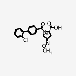 CON=C1C[C@@H](C(=O)O)N(C(=O)c2ccc(-c3ccccc3Cl)cc2)C1